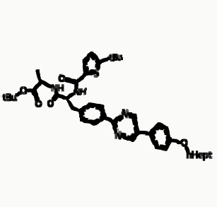 CCCCCCCOc1ccc(-c2cnc(-c3ccc(C[C@H](NC(=O)c4ccc(C(C)(C)C)s4)C(=O)N[C@H](C)C(=O)OC(C)(C)C)cc3)nc2)cc1